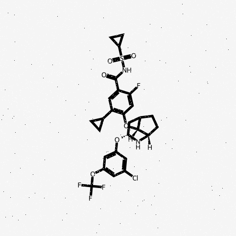 O=C(NS(=O)(=O)C1CC1)c1cc(C2CC2)c(O[C@@H]2C3CC[C@@H]2N[C@H](Oc2cc(Cl)cc(OC(F)(F)F)c2)C3)cc1F